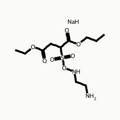 CCCOC(=O)C(CC(=O)OCC)S(=O)(=O)ONCCN.[NaH]